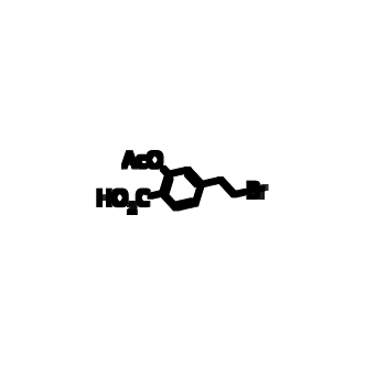 CC(=O)Oc1cc(CCBr)ccc1C(=O)O